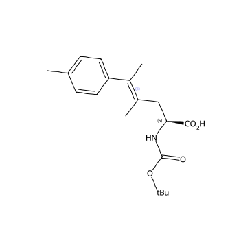 C/C(C[C@H](NC(=O)OC(C)(C)C)C(=O)O)=C(/C)c1ccc(C)cc1